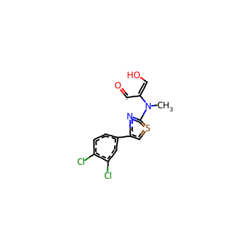 CN(C([C]=O)=CO)c1nc(-c2ccc(Cl)c(Cl)c2)cs1